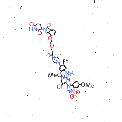 CCc1cc(Nc2ncc(Cl)c(Nc3ccc(OC)cc3N(C)S(C)(=O)=O)n2)c(OC)cc1N1CCN(C(=O)CCOCCOc2cccc3c2CN(C2CCC(=O)NC2=O)C3=O)CC1